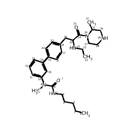 CCCCCNC(=O)N(C)c1cccc(-c2ccc(CC(NCC)C(=O)N3CCNCC3C)cc2)c1